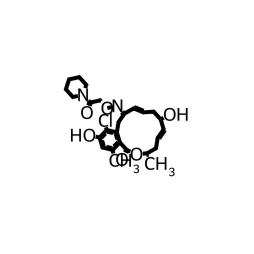 Cc1cc(O)c(Cl)c2c1C(=O)O[C@H](C)C/C=C/C(O)C/C=C/C(=N/OCC(=O)N1CCCCC1)C2